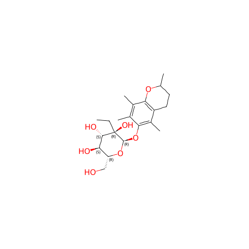 CC[C@]1(O)[C@@H](Oc2c(C)c(C)c3c(c2C)CCC(C)O3)O[C@H](CO)[C@@H](O)[C@@H]1O